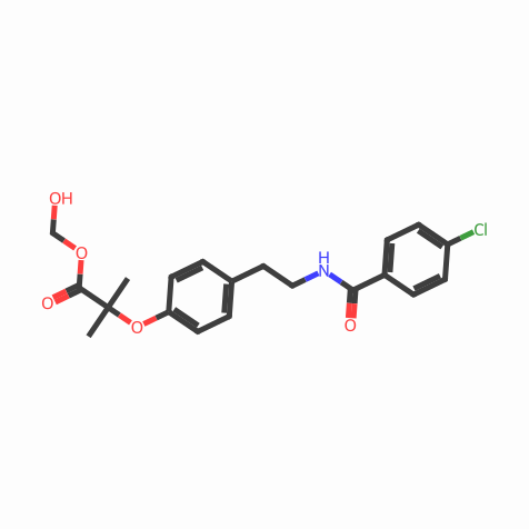 CC(C)(Oc1ccc(CCNC(=O)c2ccc(Cl)cc2)cc1)C(=O)OCO